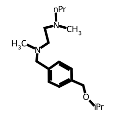 CCCN(C)CCN(C)Cc1ccc(COC(C)C)cc1